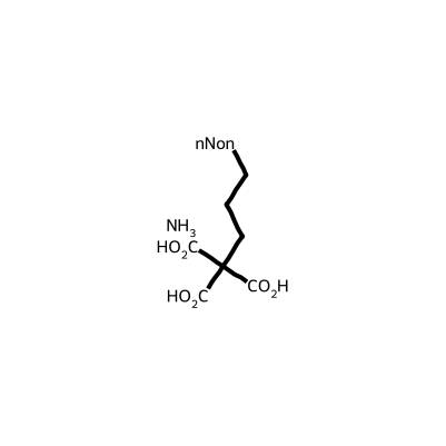 CCCCCCCCCCCCC(C(=O)O)(C(=O)O)C(=O)O.N